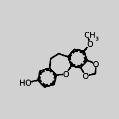 COc1cc2c(c3c1OCO3)Oc1ccc(O)cc1CC2